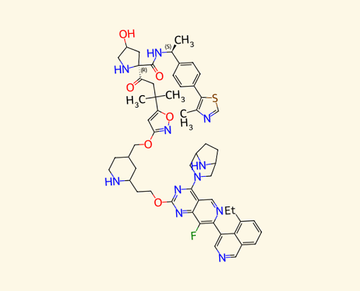 CCc1cccc2cncc(-c3ncc4c(N5CC6CCC(C5)N6)nc(OCCC5CC(COc6cc(C(C)(C)CC(=O)[C@@]7(C(=O)N[C@@H](C)c8ccc(-c9scnc9C)cc8)CC(O)CN7)on6)CCN5)nc4c3F)c12